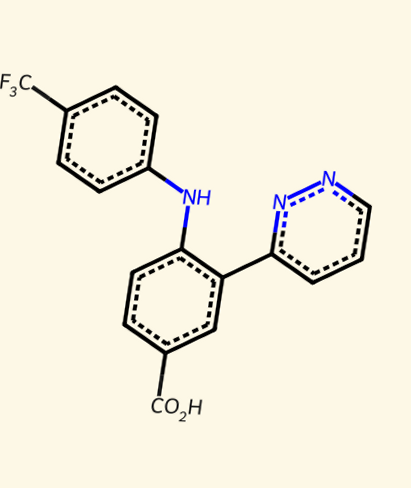 O=C(O)c1ccc(Nc2ccc(C(F)(F)F)cc2)c(-c2cccnn2)c1